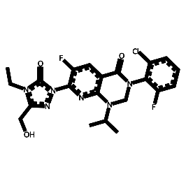 CCn1c(CO)nn(-c2nc3c(cc2F)C(=O)N(c2c(F)cccc2Cl)CN3C(C)C)c1=O